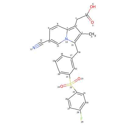 Cc1c(CC(=O)O)c2ccc(C#N)cn2c1Cc1cccc(S(=O)(=O)c2ccc(F)cc2)c1